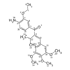 CCOc1cc(C(=O)/C(=C/c2cc(OC)c(OC)c(OC)c2)C(C)C)ccc1N